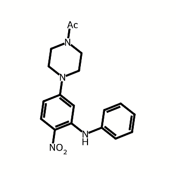 CC(=O)N1CCN(c2ccc([N+](=O)[O-])c(Nc3ccccc3)c2)CC1